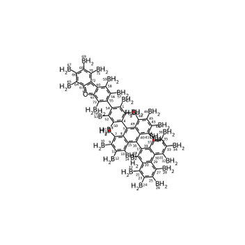 Bc1c(B)c(-c2c3c(B)c(B)c(B)c(B)c3c(-c3c(B)c4c(B)c(B)c(B)c(B)c4c4c(B)c(B)c(B)c(B)c34)c3c(B)c(B)c(B)c(B)c23)c(B)c(B)c1-c1c(B)c(B)c2c(oc3c(B)c(B)c(B)c(B)c32)c1B